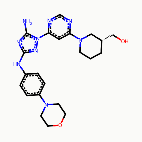 Nc1nc(Nc2ccc(N3CCOCC3)cc2)nn1-c1cc(N2CCC[C@@H](CO)C2)ncn1